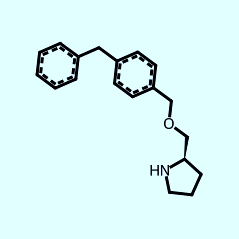 c1ccc(Cc2ccc(COC[C@H]3CCCN3)cc2)cc1